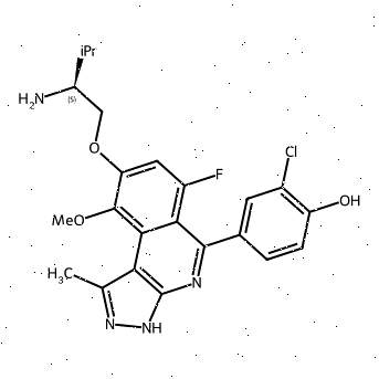 COc1c(OC[C@@H](N)C(C)C)cc(F)c2c(-c3ccc(O)c(Cl)c3)nc3[nH]nc(C)c3c12